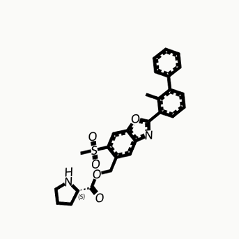 Cc1c(-c2ccccc2)cccc1-c1nc2cc(COC(=O)[C@@H]3CCCN3)c(S(C)(=O)=O)cc2o1